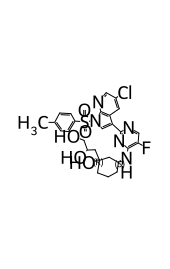 Cc1ccc(S(=O)(=O)n2cc(-c3ncc(F)c(N[C@H]4CCC[C@](O)(CC(O)CO)C4)n3)c3cc(Cl)cnc32)cc1